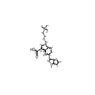 Cn1nc(-c2cnc3c(n2)c(C(=O)O)cn3COCC[Si](C)(C)C)c2sccc21